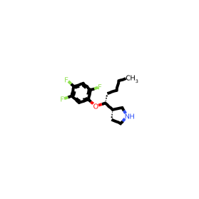 CCCC[C@@H](Oc1cc(F)c(F)cc1F)[C@H]1CCNC1